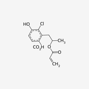 C=CC(=O)OC(C)Cc1c(C(=O)O)ccc(O)c1Cl